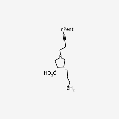 BCCC[C@H]1CN(CCC#CCCCCC)C[C@H]1C(=O)O